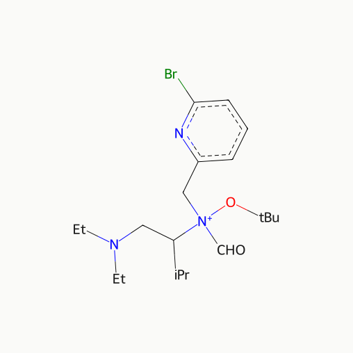 CCN(CC)CC(C(C)C)[N+](C=O)(Cc1cccc(Br)n1)OC(C)(C)C